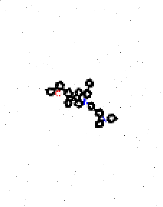 c1ccc(-c2ccc(N(c3ccc(-c4ccc5c(c4)c4ccccc4n5-c4ccccc4)cc3)c3cccc4c3-c3ccccc3C4(c3ccccc3)c3ccc(-c4cccc5c4oc4ccccc45)cc3)cc2)cc1